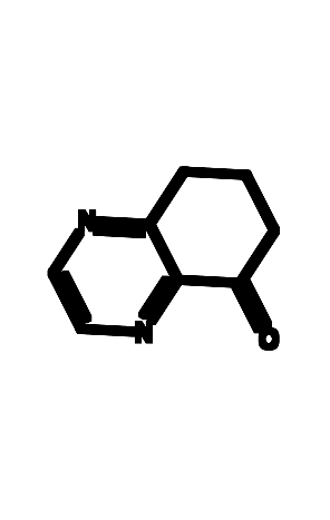 O=C1CCCc2nccnc21